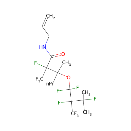 C=CCNC(=O)C(F)(C(F)(F)F)C(C)(CCC)OC(F)(F)C(F)(C(C)(C)F)C(F)(F)F